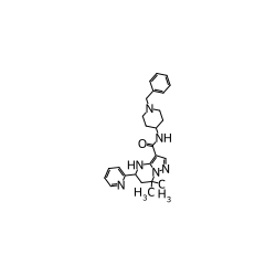 CC1(C)CC(c2ccccn2)Nc2c(C(=O)NC3CCN(Cc4ccccc4)CC3)cnn21